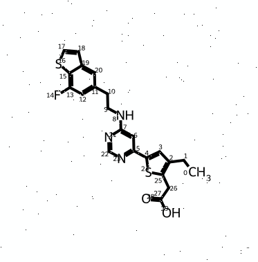 CCc1cc(-c2cc(NCCc3cc(F)c4sccc4c3)ncn2)sc1CC(=O)O